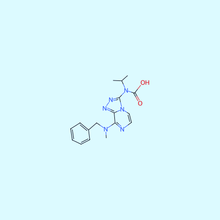 CC(C)N(C(=O)O)c1nnc2c(N(C)Cc3ccccc3)nccn12